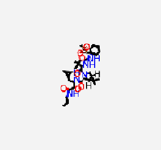 CCCNC(=O)C(=O)C(CC1CC1)NC(=O)[C@@H]1[C@@H]2[C@H](CN1C(=O)[C@@H](NC(=O)NC1(CS(C)(=O)=O)CCCCC1)C(C)(C)C)C2(C)C